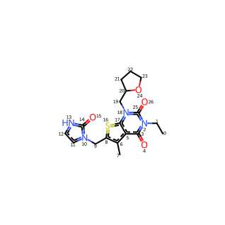 CCn1c(=O)c2c(C)c(Cn3cc[nH]c3=O)sc2n(CC2CCCO2)c1=O